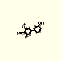 COc1cc(-c2cccc(O)c2)cc(F)c1C#N